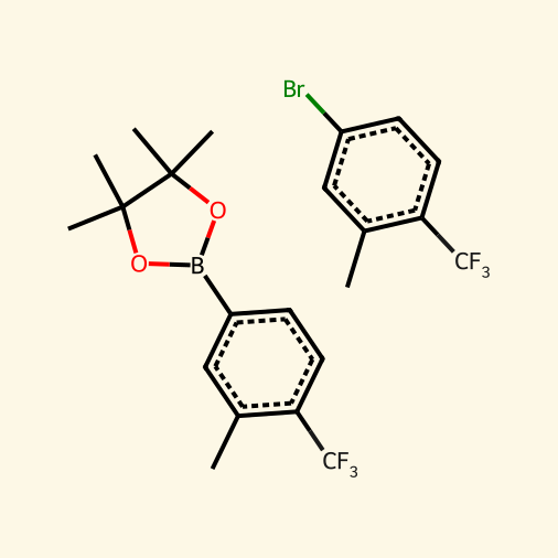 Cc1cc(B2OC(C)(C)C(C)(C)O2)ccc1C(F)(F)F.Cc1cc(Br)ccc1C(F)(F)F